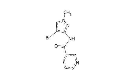 Cn1cc(Br)c(NC(=O)c2cccnc2)n1